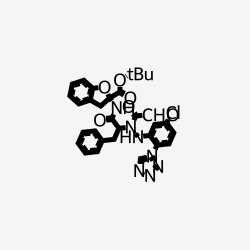 CC(C)(C)OC(=O)C1(NC(=O)C(Cc2ccccc2)N(Nc2cc(Cl)ccc2-n2cnnn2)C(=O)C=O)Cc2ccccc2O1